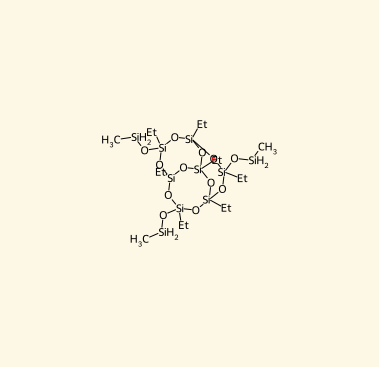 CC[Si]1(O[SiH2]C)O[Si]2(CC)O[Si](CC)(O[SiH2]C)O[Si]3(CC)O[Si](CC)(O[SiH2]C)O[Si](CC)(O1)O[Si](CC)(O2)O3